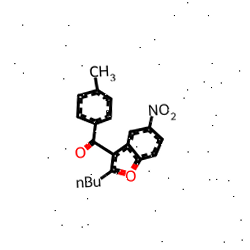 CCCCc1oc2ccc([N+](=O)[O-])cc2c1C(=O)c1ccc(C)cc1